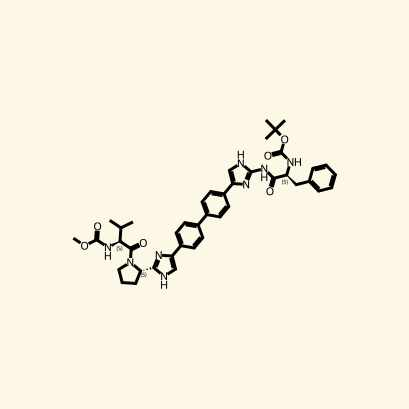 COC(=O)N[C@H](C(=O)N1CCC[C@H]1c1nc(-c2ccc(-c3ccc(-c4c[nH]c(NC(=O)[C@H](Cc5ccccc5)NC(=O)OC(C)(C)C)n4)cc3)cc2)c[nH]1)C(C)C